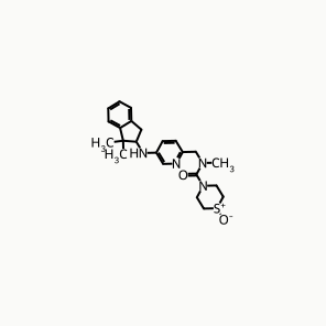 CN(Cc1ccc(NC2Cc3ccccc3C2(C)C)cn1)C(=O)N1CC[S+]([O-])CC1